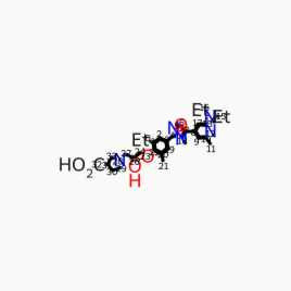 CCc1cc(-c2noc(-c3cc(C)nc(N(CC)CC)c3)n2)cc(C)c1OCC(O)CN1CCC(C(=O)O)C1